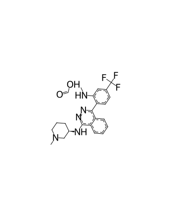 CNc1cc(C(F)(F)F)ccc1-c1nnc(N[C@@H]2CCCN(C)C2)c2ccccc12.O=CO